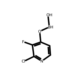 OBOc1ccnc(Cl)c1F